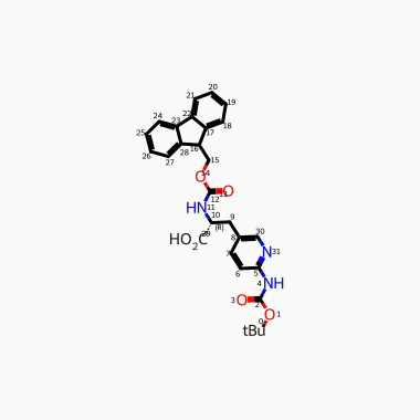 CC(C)(C)OC(=O)Nc1ccc(C[C@@H](NC(=O)OCC2c3ccccc3-c3ccccc32)C(=O)O)cn1